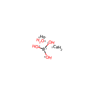 O.OB(O)O.[CaH2].[Ho]